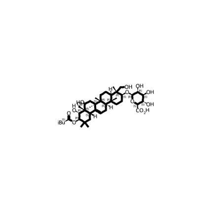 CC[C@H](C)C(=O)O[C@H]1[C@H](O)[C@]2(CO)[C@@H](O)C[C@]3(C)C(=CC[C@@H]4[C@@]5(C)CC[C@H](O[C@@H]6O[C@H](C(=O)O)[C@@H](O)[C@H](O)[C@H]6O)[C@@](C)(CO)[C@@H]5CC[C@]43C)[C@@H]2CC1(C)C